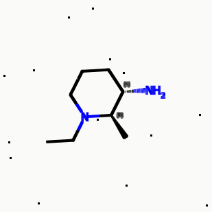 CCN1CCC[C@H](N)[C@H]1C